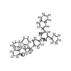 C1=CC2c3ccccc3C3(c4ccccc4Oc4ccc(-c5ccc(-c6nc(-c7ccccc7)cc(-c7ccc8ccccc8c7)n6)cc5)cc43)C2C=C1